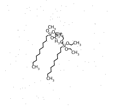 CCCCCCCCCC[Si](OC)(OC)OC.CCCCCCCCCC[Si](OCC)(OCC)OCC